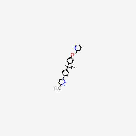 CC(C)C(C)(c1ccc(OCc2ccccn2)cc1)c1ccc(-c2ccc(C(F)(F)F)nn2)cc1